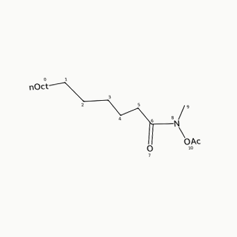 CCCCCCCCCCCCCC(=O)N(C)OC(C)=O